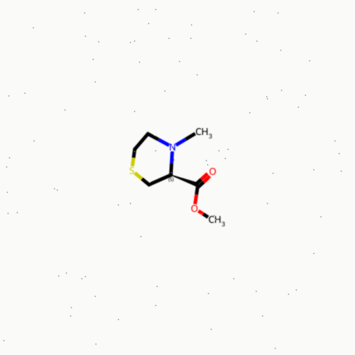 COC(=O)[C@H]1CSCCN1C